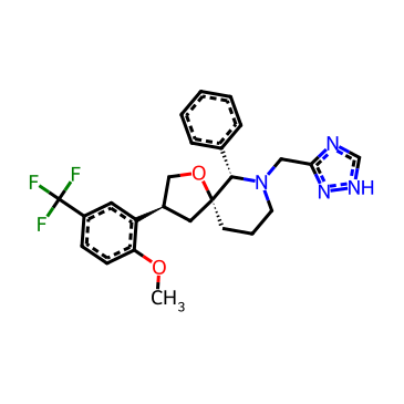 COc1ccc(C(F)(F)F)cc1[C@H]1CO[C@]2(CCCN(Cc3nc[nH]n3)[C@H]2c2ccccc2)C1